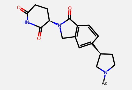 CC(=O)N1CC[C@H](c2ccc3c(c2)CN([C@@H]2CCC(=O)NC2=O)C3=O)C1